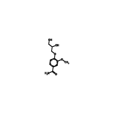 COc1cc(C(N)=O)ccc1OCC(O)CO